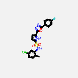 Cc1ccc(Cl)cc1NS(=O)(=O)c1ccc(-c2nnc(-c3ccc(F)cc3)o2)[nH]1